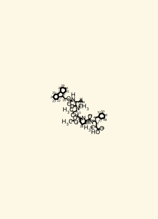 CC(=O)O[C@H](C[C@H](C(C)C)N(C)C(=O)[C@@H](NC(=O)OCC1c2ccccc2-c2ccccc21)C1CC1)c1cccc(C(=O)N[C@@H](Cc2ccccc2)C[C@H](C)C(=O)O)n1